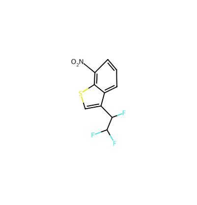 O=[N+]([O-])c1cccc2c(C(F)C(F)F)csc12